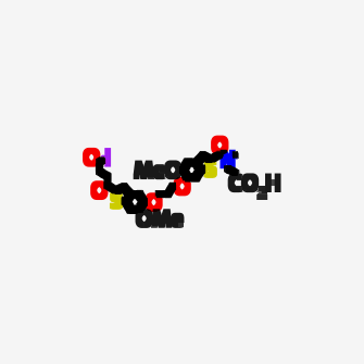 COc1cc2sc(C(=O)CCC(=O)I)cc2cc1OCCCOc1cc2sc(C(=O)N(C)CCC(=O)O)cc2cc1OC